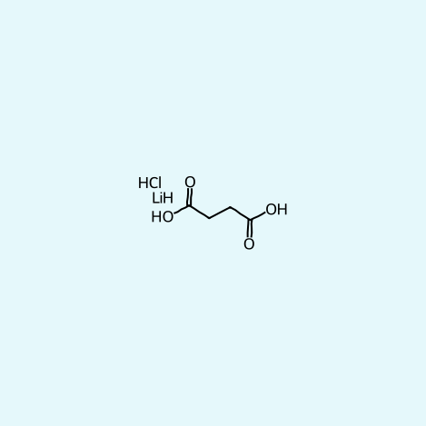 Cl.O=C(O)CCC(=O)O.[LiH]